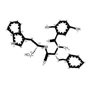 CN(C(=O)c1cc(O)ccc1O)[C@H](Cc1ccccc1)C(=O)N[C@@H](Cc1c[nH]c2ccccc12)C(=O)O